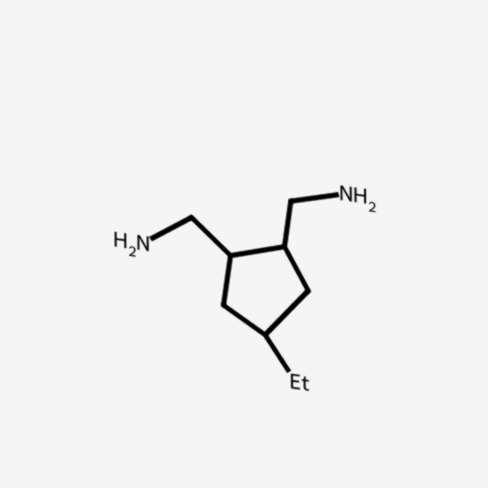 CCC1CC(CN)C(CN)C1